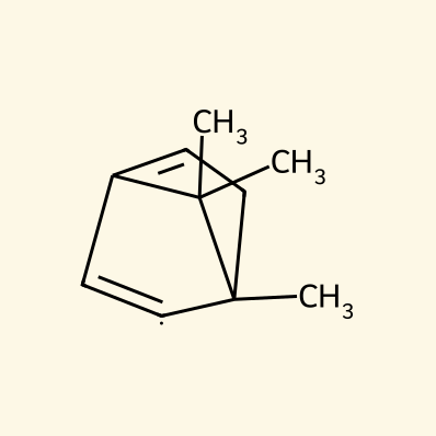 CC12[C]=CC(=CC1)C2(C)C